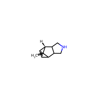 C=C1C2C=C[C@@H]1C1CNCC21